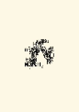 CCC[C@H](NC(=O)C1CN(C(=O)OC(C)(C)C)CC1NC(=O)CNC(=O)[C@@H](NC(=O)c1cnccn1)C1CCCCC1)C(=O)C(=O)NCC(=O)N[C@H](C(=O)N(C)C)c1ccccc1